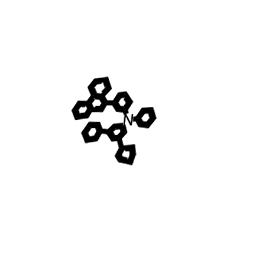 c1ccc(-c2cc(-c3ccccc3)cc(N(c3ccccc3)c3cccc(-c4cc5ccccc5c5ccccc45)c3)c2)cc1